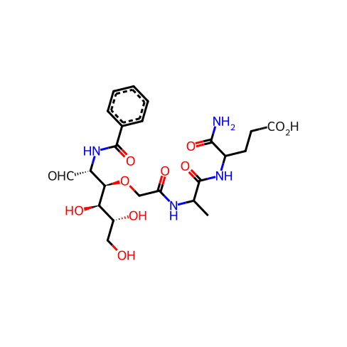 CC(NC(=O)CO[C@@H]([C@H](O)[C@H](O)CO)[C@H](C=O)NC(=O)c1ccccc1)C(=O)NC(CCC(=O)O)C(N)=O